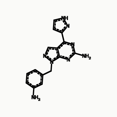 Nc1cccc(Cn2ncc3c(-c4cc[nH]n4)nc(N)nc32)c1